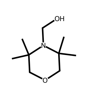 CC1(C)COCC(C)(C)N1CO